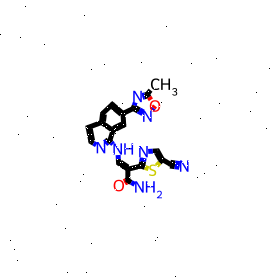 Cc1nc(-c2ccc3ccnc(NC=C(C(N)=O)c4ncc(C#N)s4)c3c2)no1